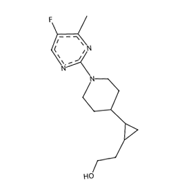 Cc1nc(N2CCC(C3CC3CCO)CC2)ncc1F